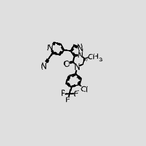 C[C@H]1CN(c2ccc(C(F)(F)F)c(Cl)c2)C(=O)c2c(-c3ccnc(C#N)c3)cnn21